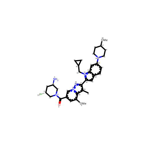 COc1cc(C(=O)N2C[C@H](N)C[C@@H](F)C2)cn2nc(-c3cc4ccc(N5CCC(OC)CC5)cc4n3CC3CC3)c(C)c12